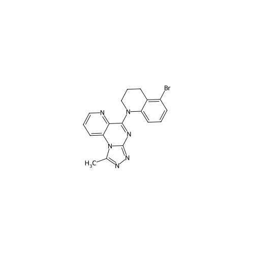 Cc1nnc2nc(N3CCCc4c(Br)cccc43)c3ncccc3n12